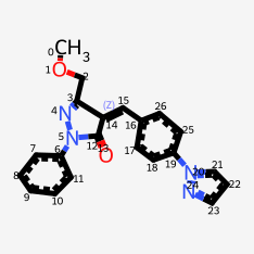 COCC1=NN(c2ccccc2)C(=O)/C1=C\c1ccc(-n2cccn2)cc1